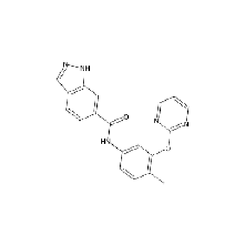 Cc1ccc(NC(=O)c2ccc3cn[nH]c3c2)cc1Oc1ncccn1